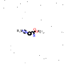 CCOC(=O)/C(C#N)=C/c1cccc(N2CCN(C)CC2)c1